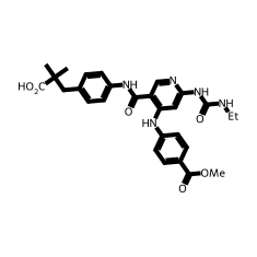 CCNC(=O)Nc1cc(Nc2ccc(C(=O)OC)cc2)c(C(=O)Nc2ccc(CC(C)(C)C(=O)O)cc2)cn1